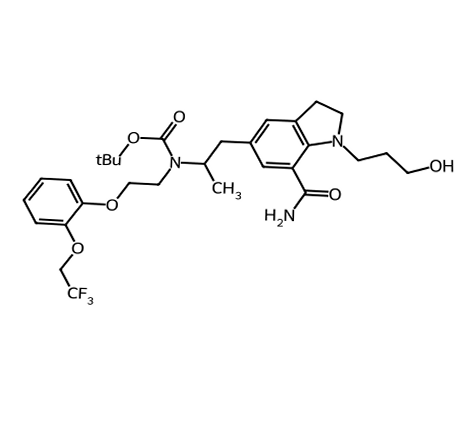 CC(Cc1cc2c(c(C(N)=O)c1)N(CCCO)CC2)N(CCOc1ccccc1OCC(F)(F)F)C(=O)OC(C)(C)C